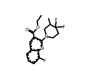 CCOC(=O)c1cc2cccc(F)c2nc1N1CCC(F)(F)C(C)C1